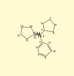 c1ccc(N(C2CCCC2)[SiH]2CCCC2)cc1